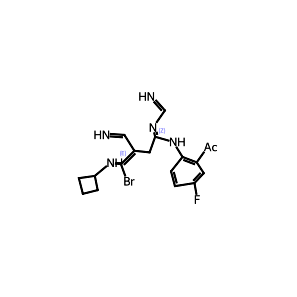 CC(=O)c1cc(F)ccc1N/C(C/C(C=N)=C(\Br)NC1CCC1)=N\C=N